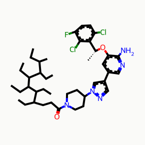 CCC(C)C(CC)C(CC)C(CC)C(CC)C(CC)CCC(=O)N1CCC(n2cc(-c3cnc(N)c(O[C@H](C)c4c(Cl)ccc(F)c4Cl)c3)cn2)CC1